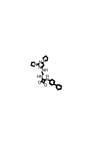 O=c1c(NCCNc2cc(N3CCCC3)nc(N3CCCC3)n2)c(Nc2ccc(-c3ccccc3)cc2)c1=O